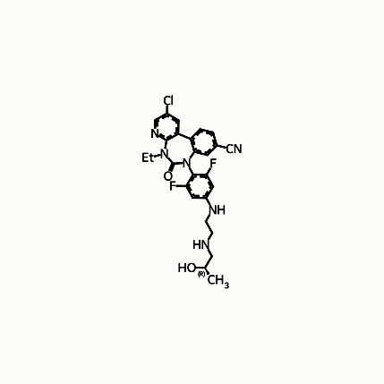 CCN1C(=O)N(c2c(F)cc(NCCNC[C@@H](C)O)cc2F)c2cc(C#N)ccc2-c2cc(Cl)cnc21